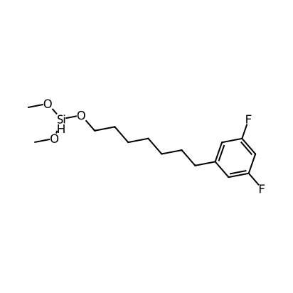 CO[SiH](OC)OCCCCCCCc1cc(F)cc(F)c1